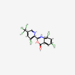 O=c1oc(-c2ncc(C(F)(F)F)cc2Cl)nc2c(Cl)cc(Cl)cc12